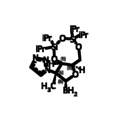 B[C@@H]1O[C@@H]2CO[Si](C(C)C)(C(C)C)O[Si](C(C)C)(C(C)C)O[C@H]2[C@@]1(C)n1ccnn1